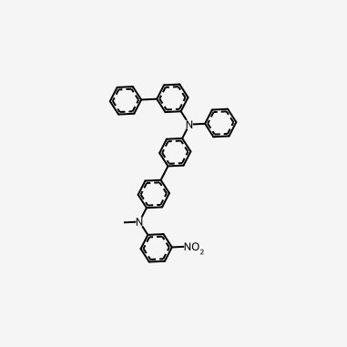 CN(c1ccc(-c2ccc(N(c3ccccc3)c3cccc(-c4ccccc4)c3)cc2)cc1)c1cccc([N+](=O)[O-])c1